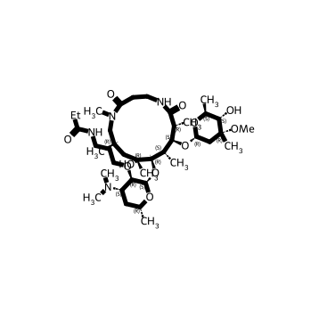 CCC(=O)NCCCO[C@H]1[C@H](O[C@@H]2[C@@H](C)[C@H](O[C@H]3C[C@@](C)(OC)[C@@H](O)[C@H](C)O3)[C@@H](C)C(=O)NCCC(=O)N(C)C[C@H](C)C[C@@]2(C)O)O[C@H](C)C[C@@H]1N(C)C